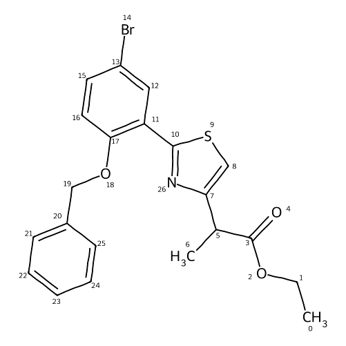 CCOC(=O)C(C)c1csc(-c2cc(Br)ccc2OCc2ccccc2)n1